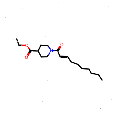 CCCCCCC/C=C/C(=O)N1CCC(C(=O)OCC)CC1